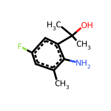 Cc1cc(F)cc(C(C)(C)O)c1N